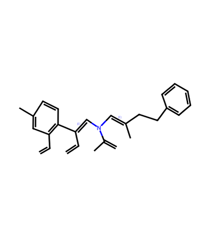 C=C/C(=C\N(/C=C(\C)CCc1ccccc1)C(=C)C)c1ccc(C)cc1C=C